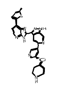 Cc1ccc(-c2ccnc3[nH]c(-c4n[nH]c5cnc(-c6cncc(OC7CCNCC7)c6)cc45)nc23)s1